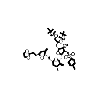 C=C1C[C@H](CCC2OCCO2)O[C@H]1CC[C@H]1C[C@H](C)C(=C)[C@@H](C[C@@H]2O[C@H](C[C@@H](CO[Si](C)(C)C(C)(C)C)O[Si](C)(C)C(C)(C)C)[C@H](OC)[C@H]2CS(=O)(=O)c2ccc(C)cc2)O1